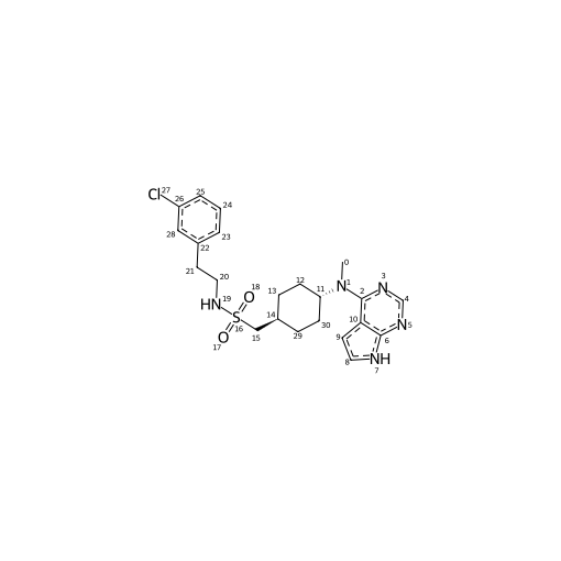 CN(c1ncnc2[nH]ccc12)[C@H]1CC[C@H](CS(=O)(=O)NCCc2cccc(Cl)c2)CC1